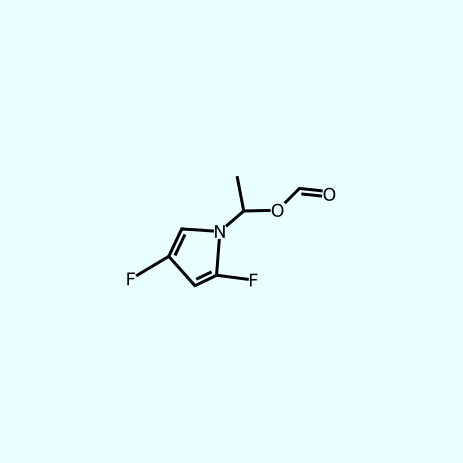 CC(OC=O)n1cc(F)cc1F